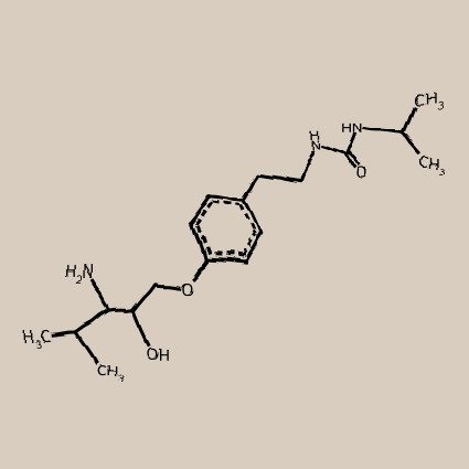 CC(C)NC(=O)NCCc1ccc(OCC(O)C(N)C(C)C)cc1